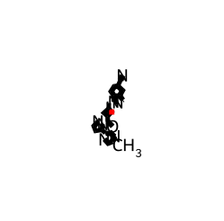 Cc1cnc(C2CC=NN2C(=O)C23CC(Cn4ncc5cc(C#N)ccc54)(C2)C3)cn1